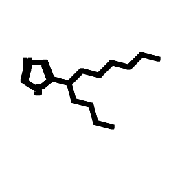 CCCCCCC(CCCC)c1cncs1